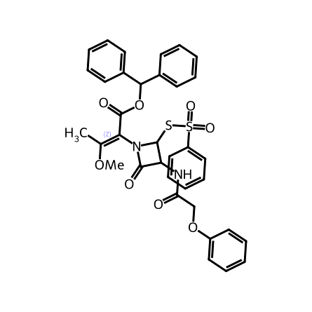 CO/C(C)=C(/C(=O)OC(c1ccccc1)c1ccccc1)N1C(=O)C(NC(=O)COc2ccccc2)C1SS(=O)(=O)c1ccccc1